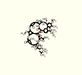 CN[C@H](CC(C)C)C(=O)N[C@H]1C(=O)N[C@@H](CC(N)=O)C(=O)N[C@H]2C(=S)N[C@H]3C(=O)N[C@H](C(=O)N[C@H](CO)C4=CC(OC)C(C)C(OC)=C4C4CC3=CC=C4COC)[C@H](O)C3=CC=C(Oc4cc2cc(c4OC)OC2=C(Cl)C=C(CC2C)[C@H]1O)C(Cl)C3